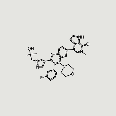 Cn1cc(-c2ccc3nc(-c4c#[n+]n(CC(C)(C)O)c4)nc(N4CCOC[C@@H]4c4ccc(F)cc4)c3c2)c2cc[nH]c2c1=O